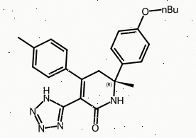 CCCCOc1ccc([C@@]2(C)CC(c3ccc(C)cc3)=C(c3nnn[nH]3)C(=O)N2)cc1